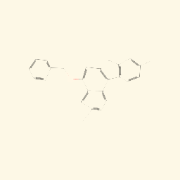 Cc1ccc2c(c1)Cc1cc(OCc3ccccc3)c3cc(C)ccc3c1-2